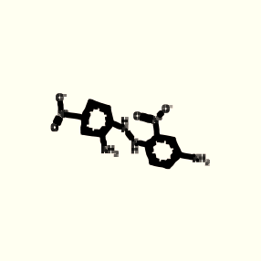 Nc1ccc(NNc2ccc([N+](=O)[O-])cc2N)c([N+](=O)[O-])c1